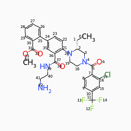 CC[C@@H]1CN(C(=O)c2ccc(C(F)(F)F)cc2Cl)CCN1c1ccc(-c2ccccc2C(=O)OC)cc1C(=O)NCCN